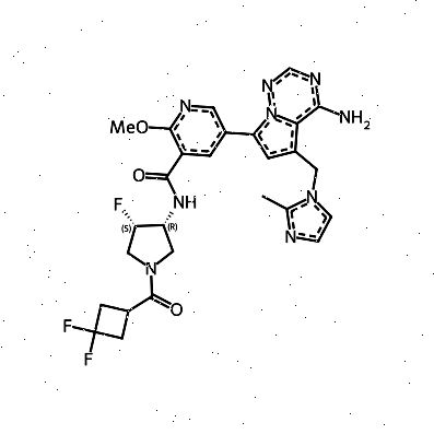 COc1ncc(-c2cc(Cn3ccnc3C)c3c(N)ncnn23)cc1C(=O)N[C@@H]1CN(C(=O)C2CC(F)(F)C2)C[C@@H]1F